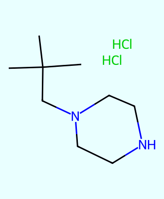 CC(C)(C)CN1CCNCC1.Cl.Cl